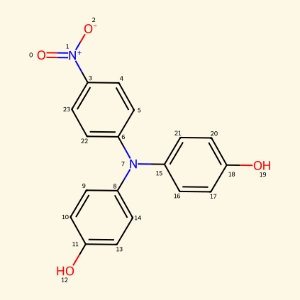 O=[N+]([O-])c1ccc(N(c2ccc(O)cc2)c2ccc(O)cc2)cc1